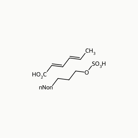 CC=CC=CC(=O)O.CCCCCCCCCCCCOS(=O)(=O)O